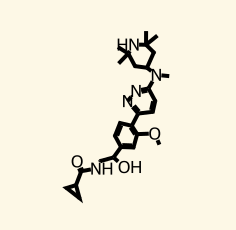 COc1cc(C(O)CNC(=O)C2CC2)ccc1-c1ccc(N(C)C2CC(C)(C)NC(C)(C)C2)nn1